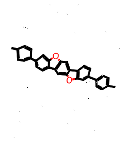 Cc1ccc(-c2ccc3c(c2)oc2cc4c(cc23)oc2cc(-c3ccc(C)cc3)ccc24)cc1